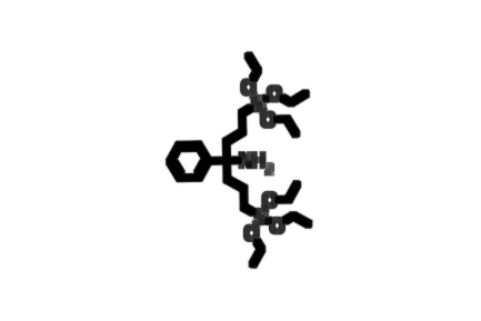 CCO[Si](CCCC(N)(CCC[Si](OCC)(OCC)OCC)c1ccccc1)(OCC)OCC